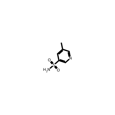 Cc1cncc(S(N)(=O)=O)c1